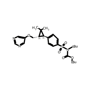 CC(C)(C)OC(=O)N(C(C)(C)C)S(=O)(=O)c1ccc([C@H]2[C@H](COc3cncnc3)C2(C)C)cc1